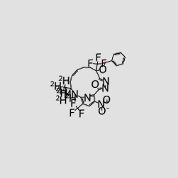 [2H]C([2H])([2H])C1(C([2H])([2H])[2H])CC=CCC[C@](OCc2ccccc2)(C(F)(F)F)c2nnc(o2)-c2nc(c(C(F)(F)F)cc2[N+](=O)[O-])N1